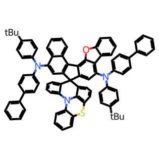 CC(C)(C)c1ccc(N(c2ccc(-c3ccccc3)cc2)c2cc3c(c4ccccc24)-c2c(cc(N(c4ccc(-c5ccccc5)cc4)c4ccc(C(C)(C)C)cc4)c4c2oc2ccccc24)C32c3ccccc3N3c4ccccc4Sc4cccc2c43)cc1